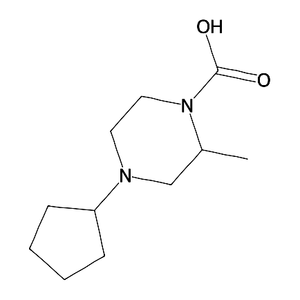 CC1CN(C2CCCC2)CCN1C(=O)O